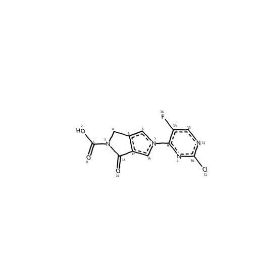 O=C(O)N1Cc2cn(-c3nc(Cl)ncc3F)cc2C1=O